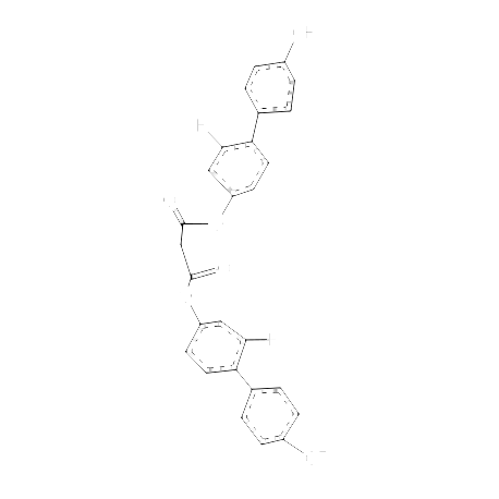 O=C(CC(=O)Oc1ccc(-c2ccc(C(F)(F)F)cc2)c(F)c1)Oc1ccc(-c2ccc(C(F)(F)F)cc2)c(F)c1